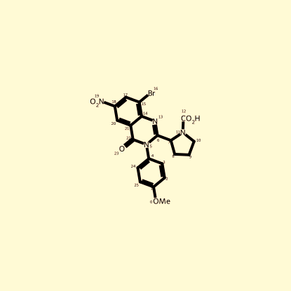 COc1ccc(-n2c(C3CCCN3C(=O)O)nc3c(Br)cc([N+](=O)[O-])cc3c2=O)cc1